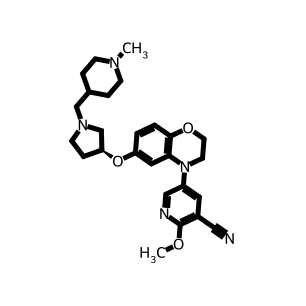 COc1ncc(N2CCOc3ccc(O[C@H]4CCN(CC5CCN(C)CC5)C4)cc32)cc1C#N